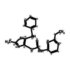 CCc1nccc(NC(=O)Oc2nc(C)sc2Nc2cccnc2)n1